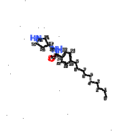 CCCCCCCCCCc1ccc(C(=O)N[C@H]2CCNC2)cc1